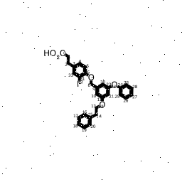 O=C(O)CCc1ccc(OCc2cc(OCCc3ccccc3)cc(Oc3ccccc3)c2)c(F)c1